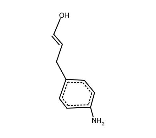 Nc1ccc(CC=CO)cc1